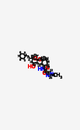 CCCC1(CCc2ccccc2)CC(O)=C(Cc2c(NS(=O)(=O)c3cn(C)cn3)cccc2C(C)(C)C)C(=O)O1